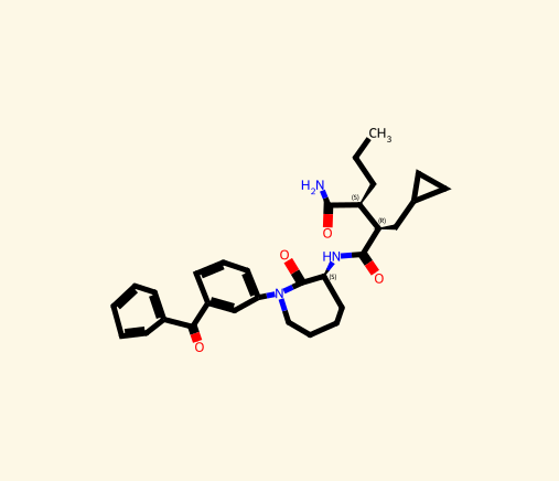 CCC[C@H](C(N)=O)[C@@H](CC1CC1)C(=O)N[C@H]1CCCCN(c2cccc(C(=O)c3ccccc3)c2)C1=O